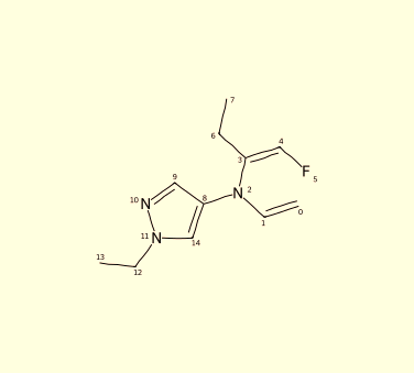 C=CN(/C(=C\F)CC)c1cnn(CC)c1